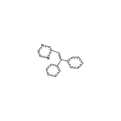 C(=C(c1ccccc1)c1ccccc1)c1cnccn1